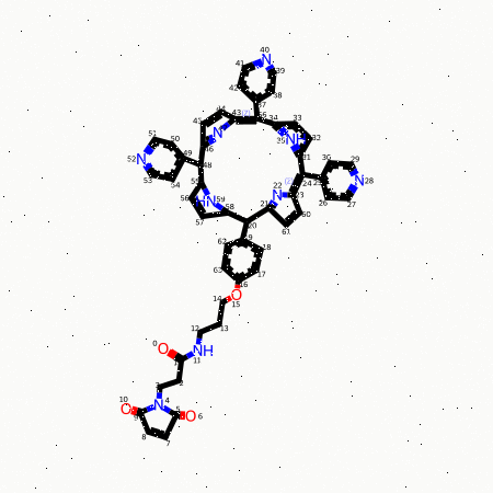 O=C(CCN1C(=O)C=CC1=O)NCCCOc1ccc(C2C3=N/C(=C(/c4ccncc4)c4ccc([nH]4)/C(c4ccncc4)=C4/C=CC(=N4)C(c4ccncc4)C4C=CC2N4)C=C3)cc1